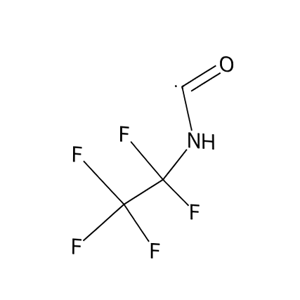 O=[C]NC(F)(F)C(F)(F)F